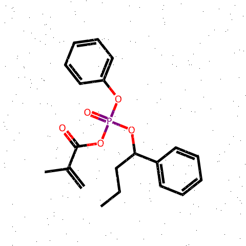 C=C(C)C(=O)OP(=O)(Oc1ccccc1)OC(CCC)c1ccccc1